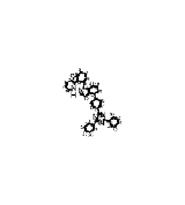 C1=Cc2sc3cccc(-c4nccc5c(-c6ccc(-c7nc(-c8ccccc8)nc(-c8ccccc8)n7)cc6)cccc45)c3c2NC1